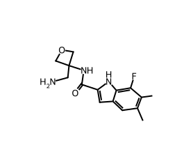 Cc1cc2cc(C(=O)NC3(CN)COC3)[nH]c2c(F)c1C